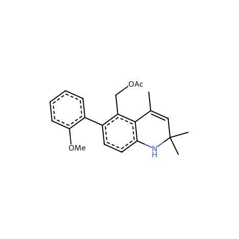 COc1ccccc1-c1ccc2c(c1COC(C)=O)C(C)=CC(C)(C)N2